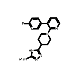 CNc1nnc(C2CCN(c3ncccc3-c3ccc(F)nc3)CC2)[nH]1